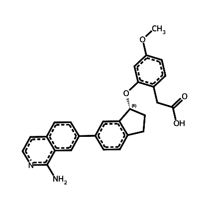 COc1ccc(CC(=O)O)c(O[C@@H]2CCc3ccc(-c4ccc5ccnc(N)c5c4)cc32)c1